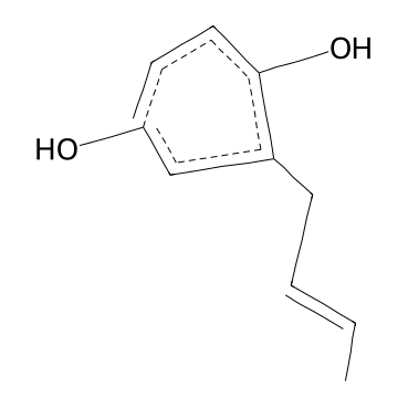 C/C=C/Cc1cc(O)ccc1O